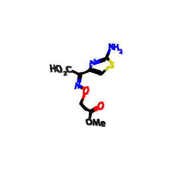 COC(=O)CO/N=C(/C(=O)O)c1csc(N)n1